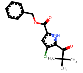 CC(C)(C)C(=O)c1[nH]c(C(=O)OCc2ccccc2)cc1Cl